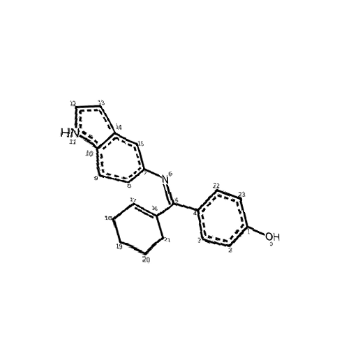 Oc1ccc(/C(=N/c2ccc3[nH]ccc3c2)C2=CCCCC2)cc1